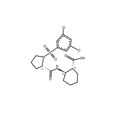 O=C(O)[C@@H]1CCCC[C@H]1NC(=O)[C@@H]1CCCN1S(=O)(=O)c1cc(Cl)cc(Cl)c1